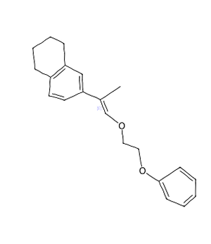 C/C(=C\OCCOc1ccccc1)c1ccc2c(c1)CCCC2